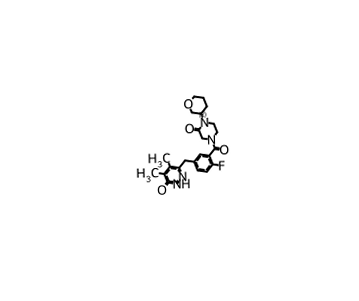 Cc1c(Cc2ccc(F)c(C(=O)N3CCN([C@@H]4CCCOC4)C(=O)C3)c2)n[nH]c(=O)c1C